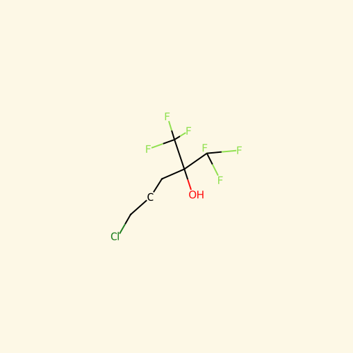 OC(CCCCl)(C(F)(F)F)C(F)(F)F